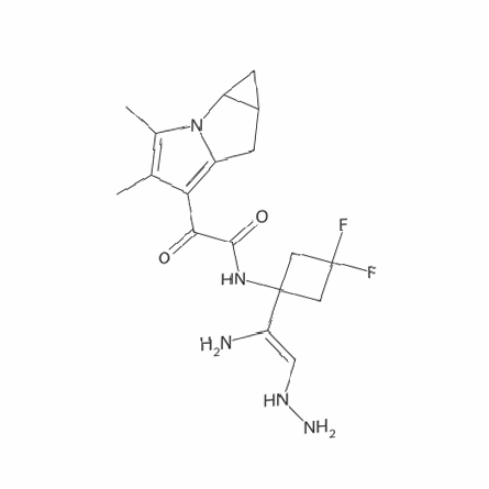 Cc1c(C(=O)C(=O)NC2(/C(N)=C/NN)CC(F)(F)C2)c2n(c1C)C1CC1C2